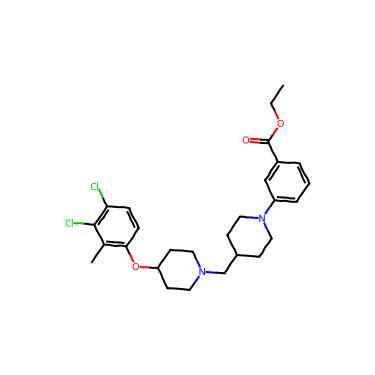 CCOC(=O)c1cccc(N2CCC(CN3CCC(Oc4ccc(Cl)c(Cl)c4C)CC3)CC2)c1